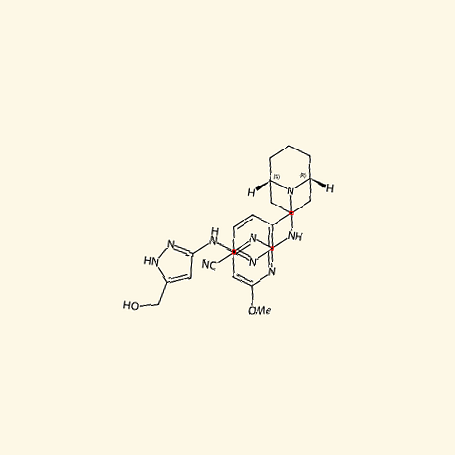 COc1cc(Nc2cc(CO)[nH]n2)nc(NC2C[C@H]3CCC[C@@H](C2)N3Cc2ccc(C#N)nc2)n1